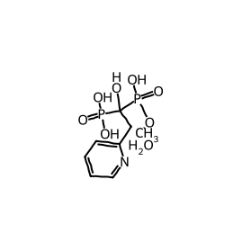 COP(=O)(O)C(O)(Cc1ccccn1)P(=O)(O)O.O